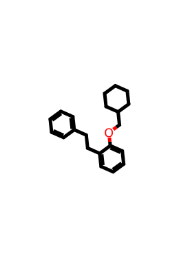 c1ccc(CCc2ccccc2OCC2CCCCC2)cc1